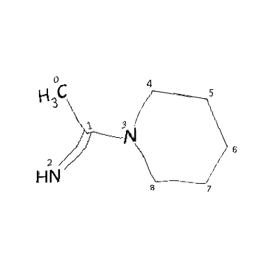 CC(=N)N1CCCCC1